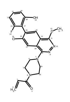 C=CC(=O)N1CCN(c2nnc(OC)c3cc(-c4c(O)cccc4F)c(Cl)cc23)CC1